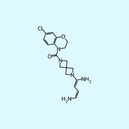 N/C=C\C=C(/N)N1CC2(CN(C(=O)N3CCOc4cc(Cl)ccc43)C2)C1